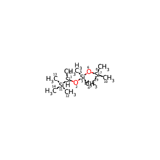 C[SiH](O[Si](C)(C)O[Si](C)(C)C)[Si](C)(C)C